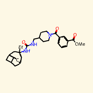 CCC1(NC(=O)NCC2CCN(C(=O)c3cccc(C(=O)OC)c3)CC2)CC2CC3CC(C1)C3C2